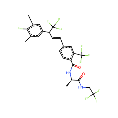 Cc1cc(C(/C=C/c2ccc(C(=O)N[C@H](C)C(=O)NCC(F)(F)F)c(C(F)(F)F)c2)C(F)(F)F)cc(C)c1F